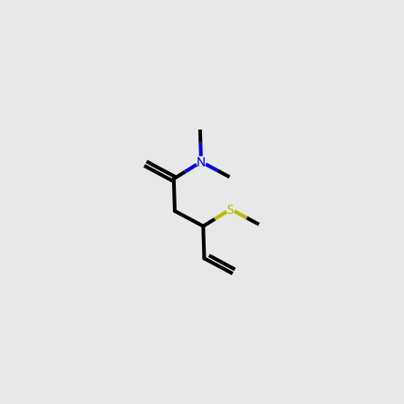 C=CC(CC(=C)N(C)C)SC